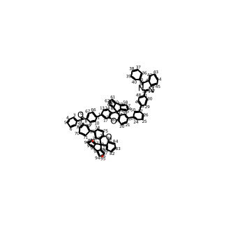 O=P(c1ccccc1)(c1ccc(-c2ccc3c(c2)Oc2ccc(-c4cccc(-c5ccc(-c6nc(-c7ccccc7)c7ccccc7n6)cc5)c4)cc2C32c3ccccc3-c3ccccc32)cc1)c1cccc(-c2ccc3c(c2)C2(c4ccccc4O3)c3ccccc3-c3ccccc32)c1